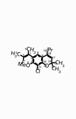 COc1c(C(C)=C(C)F)cc2c(c1Cl)OC(C)(C)C=C2C(C)C